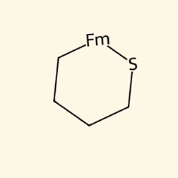 C1C[CH2][Fm][S]C1